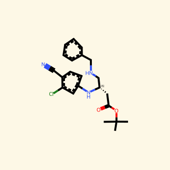 CC(C)(C)OC(=O)C[C@@H](CNCc1ccccc1)Nc1ccc(C#N)c(Cl)c1